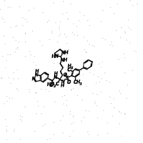 Cc1cc(-c2ccccc2)cc(C)c1S(=O)(=O)NC(CCCCNC1NCCN1)(NC(=O)c1ccc2[nH]ncc2c1)C(=O)O